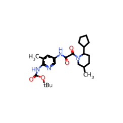 Cc1cc(NC(=O)C(=O)N2CC(C)CCC2C2CCCC2)cnc1NC(=O)OC(C)(C)C